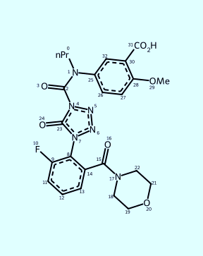 CCCN(C(=O)n1nnn(-c2c(F)cccc2C(=O)N2CCOCC2)c1=O)c1ccc(OC)c(C(=O)O)c1